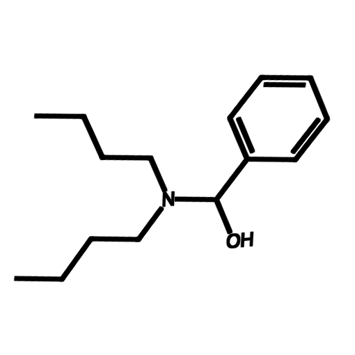 CCCCN(CCCC)C(O)c1ccccc1